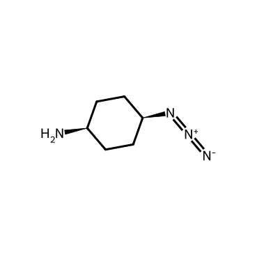 [N-]=[N+]=N[C@H]1CC[C@@H](N)CC1